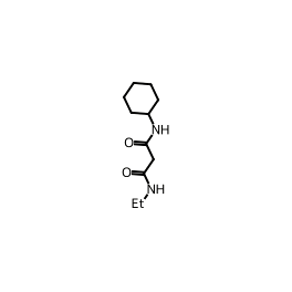 CCNC(=O)CC(=O)NC1CCCCC1